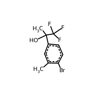 Cc1cc(C(C)(O)C(F)(F)F)ccc1Br